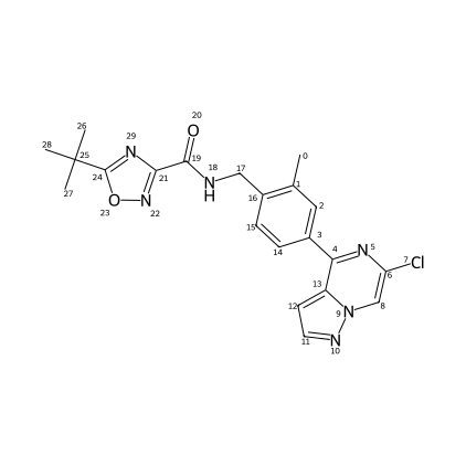 Cc1cc(-c2nc(Cl)cn3nccc23)ccc1CNC(=O)c1noc(C(C)(C)C)n1